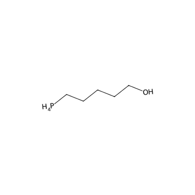 OCCCCC[PH4]